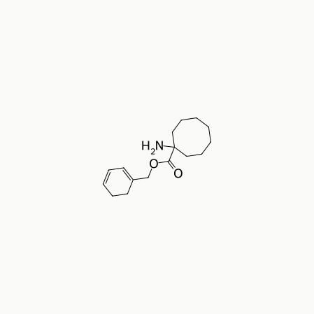 NC1(C(=O)OCC2=CC=CCC2)CCCCCCC1